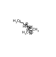 CSCCCC(=O)NNS(=O)(=O)c1c(C)noc1C